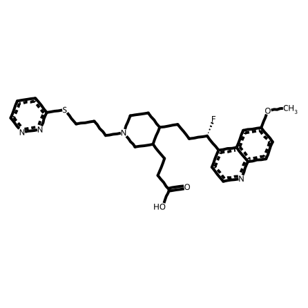 COc1ccc2nccc([C@@H](F)CCC3CCN(CCCSc4cccnn4)CC3CCC(=O)O)c2c1